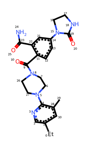 CCc1cnc(N2CCN(C(=O)c3ccc(N4CCNC4=O)cc3C(N)=O)CC2)c(C)c1